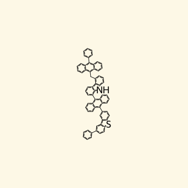 c1ccc(-c2ccc3sc4ccc(-c5c6ccccc6c(-c6cccc7c6[nH]c6cccc(Cc8c9ccccc9c(-c9ccccc9)c9ccccc89)c67)c6ccccc56)cc4c3c2)cc1